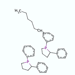 CCCCCC.c1ccc(C2CCCP2c2ccccc2)cc1.c1ccc(C2CCCP2c2ccccc2)cc1